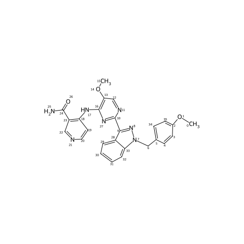 COc1ccc(Cn2nc(-c3ncc(OC)c(Nc4ccncc4C(N)=O)n3)c3ccccc32)cc1